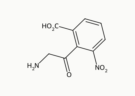 NCC(=O)c1c(C(=O)O)cccc1[N+](=O)[O-]